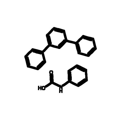 O=C(O)Nc1ccccc1.c1ccc(-c2cccc(-c3ccccc3)c2)cc1